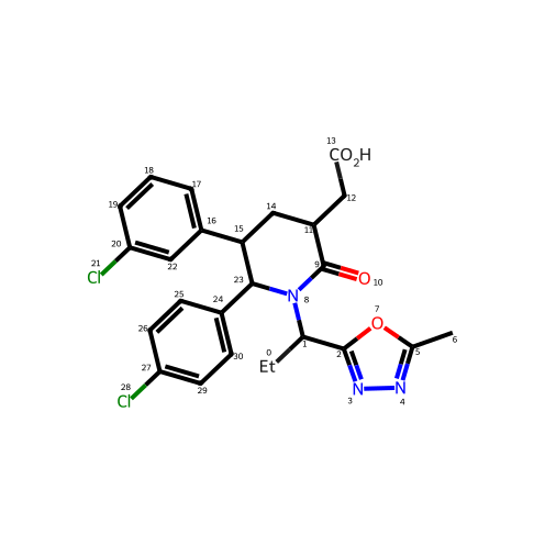 CCC(c1nnc(C)o1)N1C(=O)C(CC(=O)O)CC(c2cccc(Cl)c2)C1c1ccc(Cl)cc1